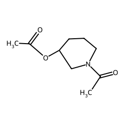 CC(=O)OC1CCCN(C(C)=O)C1